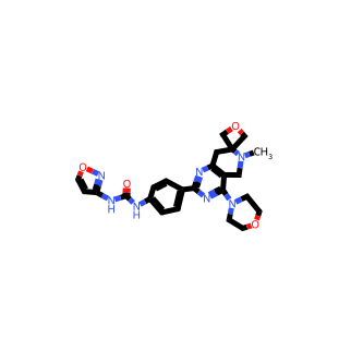 CN1Cc2c(nc(-c3ccc(NC(=O)Nc4ccon4)cc3)nc2N2CCOCC2)CC12COC2